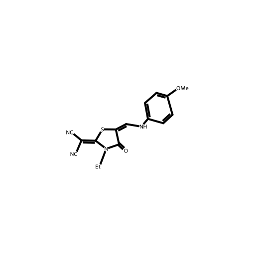 CCn1c(=C(C#N)C#N)s/c(=C/Nc2ccc(OC)cc2)c1=O